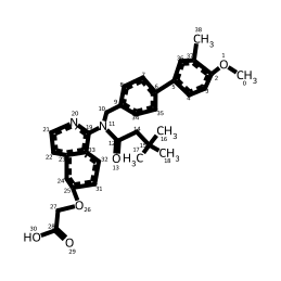 COc1ccc(-c2ccc(CN(C(=O)CC(C)(C)C)c3nccc4cc(OCC(=O)O)ccc34)cc2)cc1C